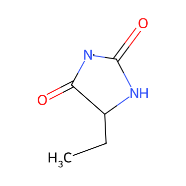 CCC1NC(=O)[N]C1=O